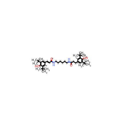 CC(C)(C)c1cc(C=CC(=O)NCCCCCCNC(=O)CCc2cc(C(C)(C)C)c(O)c(C(C)(C)C)c2)cc(C(C)(C)C)c1O